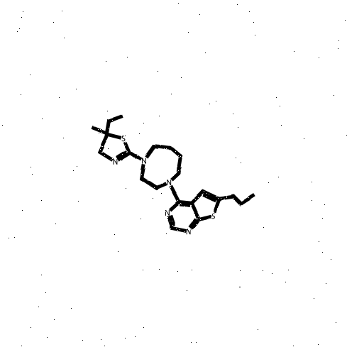 CCCc1cc2c(N3CCCCN(C4=NCC(C)(CC)S4)CC3)ncnc2s1